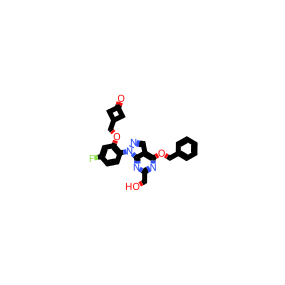 O=C1CC(COc2cc(F)ccc2-n2ncc3c(OCc4ccccc4)nc(CO)nc32)C1